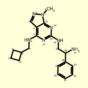 Cn1ncc2c(NCC3CCC3)nc(NCC(N)c3ccccc3)nc21